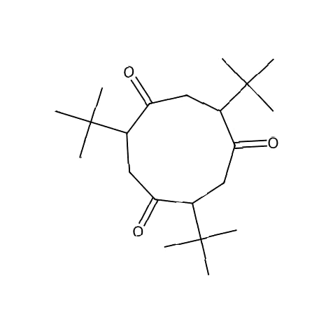 CC(C)(C)C1CC(=O)C(C(C)(C)C)CC(=O)C(C(C)(C)C)CC1=O